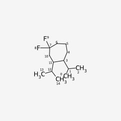 CC(C)C1CCCC(F)(F)CC1C(C)C